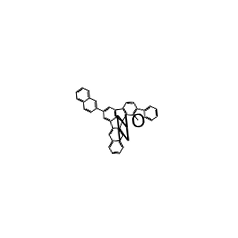 c1ccc2cc(-c3cc4c5cc6ccccc6nc5n5c4c(c3)c3ccc4c6ccccc6oc4c35)ccc2c1